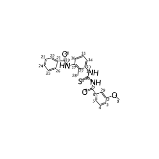 COc1cccc(C(=O)NC(=S)Nc2cccc(NC(=O)c3ccccc3)c2C)c1